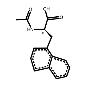 CC(=O)N[C@H](Cc1cccc2ccccc12)C(=O)O